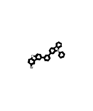 Brc1ccc2oc3ccc(-c4cccc(-c5ccc6c7ccccc7n(-c7ccccc7)c6c5)c4)cc3c2c1